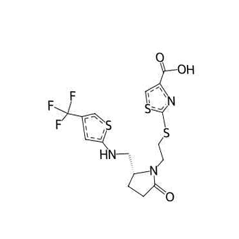 O=C(O)c1csc(SCCN2C(=O)CC[C@@H]2CNc2cc(C(F)(F)F)cs2)n1